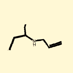 [CH2]CC(C)NCC=C